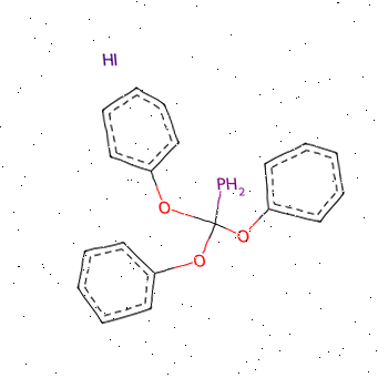 I.PC(Oc1ccccc1)(Oc1ccccc1)Oc1ccccc1